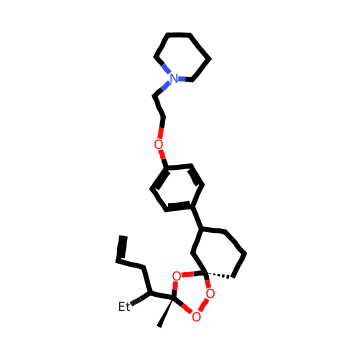 C=CCC(CC)[C@@]1(C)OO[C@@]2(CCCC(c3ccc(OCCN4CCCCC4)cc3)C2)O1